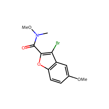 COc1ccc2oc(C(=O)N(C)OC)c(Br)c2c1